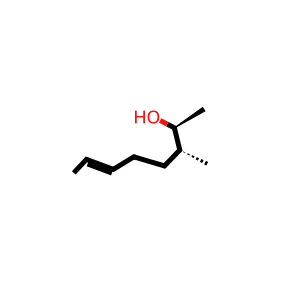 C/C=C/CC[C@@H](C)[C@H](C)O